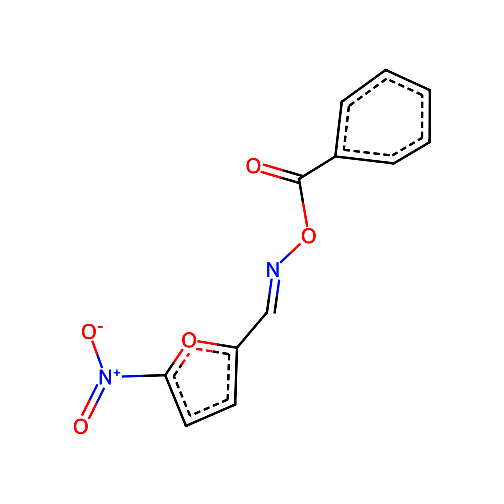 O=C(O/N=C/c1ccc([N+](=O)[O-])o1)c1ccccc1